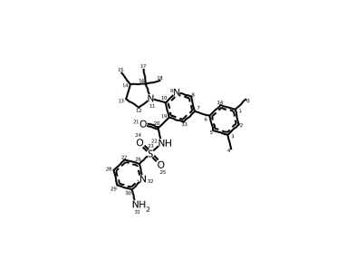 Cc1cc(C)cc(-c2cnc(N3CCC(C)C3(C)C)c(C(=O)NS(=O)(=O)c3cccc(N)n3)c2)c1